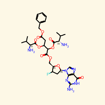 CC(C)[C@H](N)C(=O)OC(CC(=O)OCc1ccccc1)C(OC(=O)[C@@H](N)C(C)C)C(=O)OC[C@H]1O[C@@H](n2cnc3c(=O)[nH]c(N)nc32)CC1F